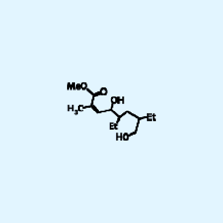 CCC(CO)CC(CC)C(O)C=C(C)C(=O)OC